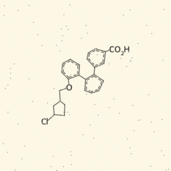 O=C(O)c1cccc(-c2ccccc2-c2ccccc2OCC2CCC(Cl)C2)c1